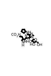 O=C(O)/C=C/c1c[nH]nc1-c1nc(NC2CCCC2)c2ncn([C@@H]3O[C@@H](CO)[C@H](O)[C@@H]3O)c2n1